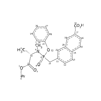 CC(C)OC(=O)[C@H](C)N(C)P(=O)(Cc1ccc2ccc(C(=O)O)cc2c1)Oc1ccccc1